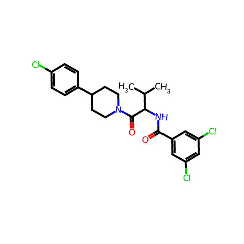 CC(C)C(NC(=O)c1cc(Cl)cc(Cl)c1)C(=O)N1CCC(c2ccc(Cl)cc2)CC1